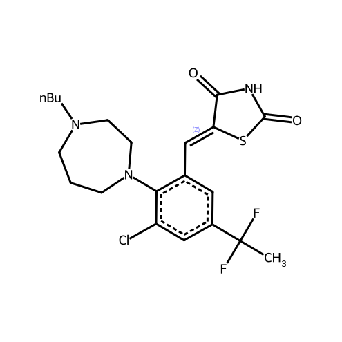 CCCCN1CCCN(c2c(Cl)cc(C(C)(F)F)cc2/C=C2\SC(=O)NC2=O)CC1